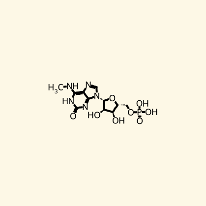 CNc1[nH]c(=O)nc2c1ncn2[C@@H]1O[C@H](COP(=O)(O)O)[C@@H](O)[C@H]1O